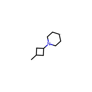 CC1CC(N2CC[CH]CC2)C1